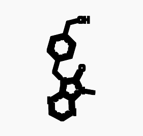 Cn1c(=O)n(Cc2ccc(CO)cc2)c2nccnc21